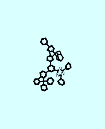 c1ccc(-c2ccc3c(c2)-c2ccc(-c4cc(-c5ccc6c(c5)C(c5ccccc5)(c5ccccc5)c5ccccc5-6)cc(-c5nc(-c6ccccc6)nc(-c6ccccc6)n5)c4)cc2C32C3CC4CC(C3)CC2C4)cc1